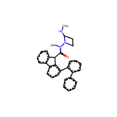 CCCCN(C(=O)C1c2ccccc2-c2cccc(-c3ccccc3-c3ccccc3)c21)N1CCC1NC=O